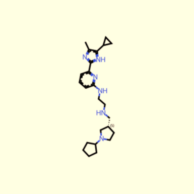 Cc1nc(-c2cccc(NCCNC[C@@H]3CCN(C4CCCC4)C3)n2)[nH]c1C1CC1